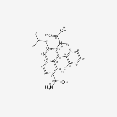 CC(C)Cc1nc2ccc(C(N)=O)cc2c(-c2ccccc2F)c1N(C)C(=O)O